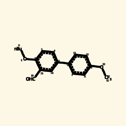 CCCCOc1ccc(-c2ccc(OC(F)(F)F)cc2)cc1C=O